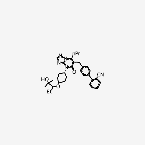 CCCc1c(Cc2ccc(-c3ccccc3C#N)cc2)c(=O)n([C@H]2CC[C@H](OC(CC)C(C)(C)O)CC2)c2ncnn12